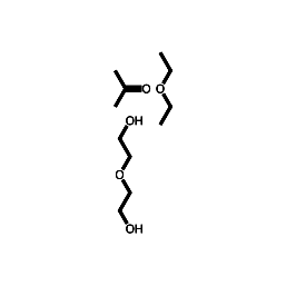 CC(C)=O.CCOCC.OCCOCCO